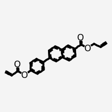 C=CCOC(=O)c1ccc2cc(-c3ccc(OC(=O)C=C)cc3)ccc2c1